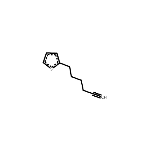 C#CCCCCc1cccs1